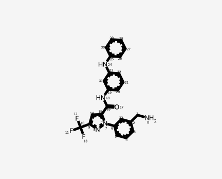 NCc1cccc(-n2nc(C(F)(F)F)cc2C(=O)Nc2cccc(Nc3ccccc3)c2)c1